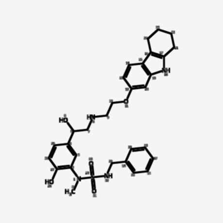 CN(c1cc(C(O)CNCCOc2ccc3c4c([nH]c3c2)CCCC4)ccc1O)S(=O)(=O)NCc1ccccc1